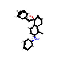 CC1=C2CCCC(O)(Cc3ccccc3)C2CCC1NC1CCCCC1